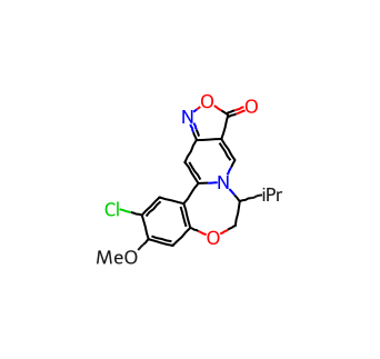 COc1cc2c(cc1Cl)-c1cc3noc(=O)c-3cn1C(C(C)C)CO2